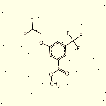 COC(=O)c1cc(OCC(F)F)cc(C(F)(F)F)c1